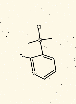 C[Si](C)(Cl)c1cccnc1F